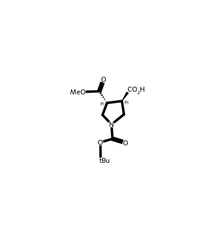 COC(=O)[C@H]1CN(C(=O)OC(C)(C)C)C[C@@H]1C(=O)O